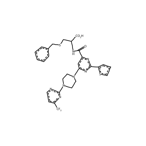 O=C(NC(CSCc1ccccc1)C(=O)O)c1cc(N2CCN(c3nccc(C(F)(F)F)n3)CC2)nc(-c2cccs2)n1